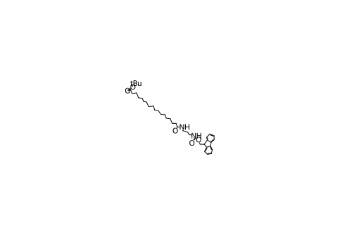 CC(C)(C)OC(=O)CCCCCCCCCCCCCCCCC(=O)NCCCNC(=O)OCC1c2ccccc2-c2ccccc21